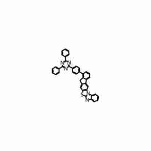 c1ccc(-c2nc(-c3ccccc3)nc(-c3ccc(-c4cccc5c4Cc4cc6sc7nc8ccccc8n7c6cc4-5)cc3)n2)cc1